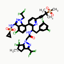 C[C@H]1Cc2c(C(F)F)nn(CC(=O)NC(Cc3cc(F)cc(F)c3)c3nc(C#CC(C)(C)S(C)(=O)=O)ccc3-c3ccc(Cl)c4c(NS(=O)(=O)C5CC5)nn(CC(F)F)c34)c2C1(F)F